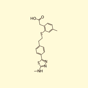 CNc1nnc(-c2ccc(CCSc3cc(C)ccc3CC(=O)O)cc2)s1